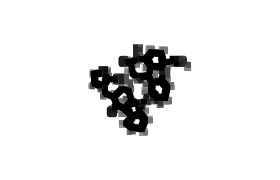 Cc1nccn1CC1CCc2c(c3ccccc3n2C)C1=O.O=C1CN=C(c2ccccc2Cl)c2cc([N+](=O)[O-])ccc2N1